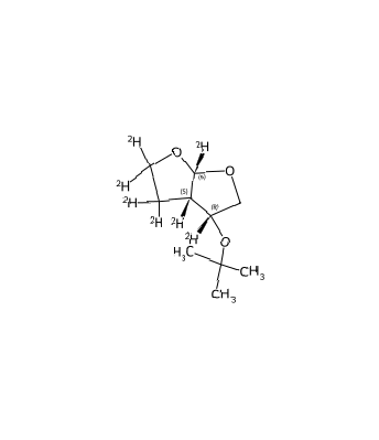 [2H]C1([2H])O[C@]2([2H])OC[C@]([2H])(OC(C)(C)C)[C@]2([2H])C1([2H])[2H]